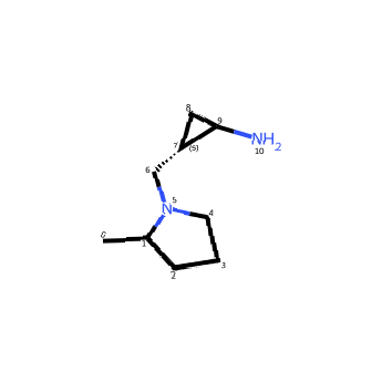 CC1CCCN1C[C@@H]1CC1N